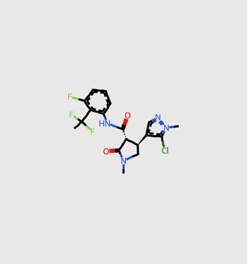 CN1C[C@H](c2cnn(C)c2Cl)[C@@H](C(=O)Nc2cccc(F)c2C(C)(F)F)C1=O